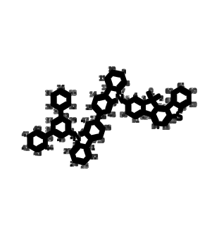 CC1(C)c2cc(-n3c4ccccc4c4ccc(-c5ccc6c7ccccc7n(-c7cc(-c8ccccc8)cc(-c8ccccc8)c7)c6c5)cc43)ccc2-c2ccc3sc4ccccc4c3c21